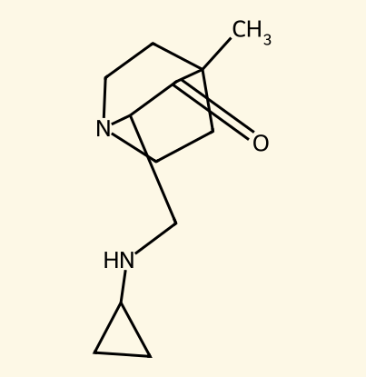 CC12CCN(CC1)C(CNC1CC1)C2=O